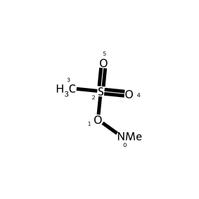 CNOS(C)(=O)=O